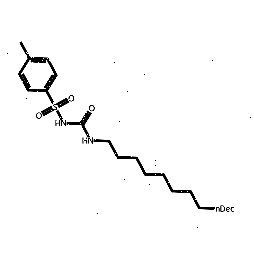 CCCCCCCCCCCCCCCCCCNC(=O)NS(=O)(=O)c1ccc(C)cc1